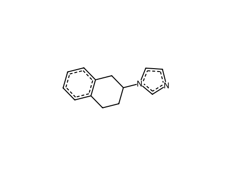 c1ccc2c(c1)CCC(n1ccnc1)C2